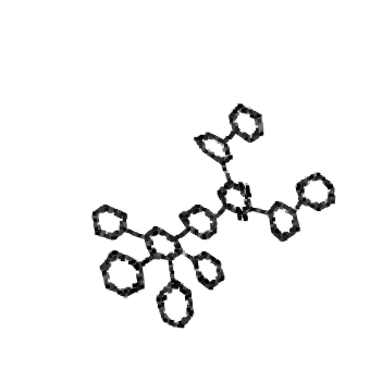 c1ccc(-c2cccc(-c3cc(-c4ccc(-c5cc(-c6ccccc6)c(-c6ccccc6)c(-c6ccccc6)c5-c5ccccc5)cc4)nc(-c4cccc(-c5ccccc5)c4)n3)c2)cc1